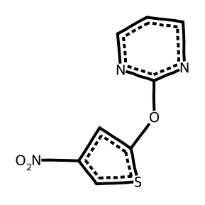 O=[N+]([O-])c1csc(Oc2ncccn2)c1